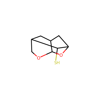 SC1C2COC3OC1CC3C2